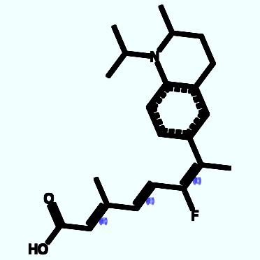 CC(/C=C/C(F)=C(/C)c1ccc2c(c1)CCC(C)N2C(C)C)=C\C(=O)O